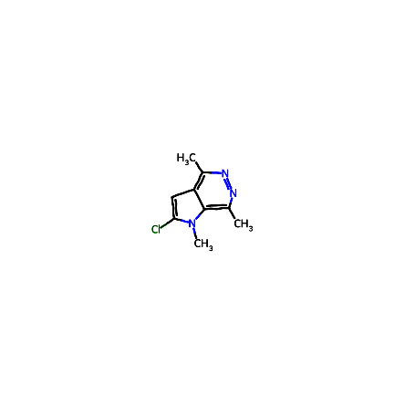 Cc1nnc(C)c2c1cc(Cl)n2C